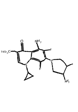 CC1CN(c2c(F)c(N)c3c(=O)c(C(=O)O)cn(C4CC4)c3c2F)CC1N